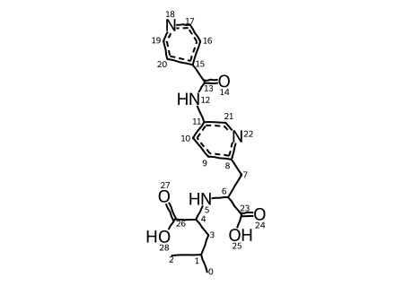 CC(C)CC(NC(Cc1ccc(NC(=O)c2ccncc2)cn1)C(=O)O)C(=O)O